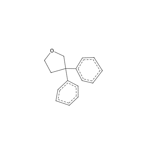 c1ccc(C2(c3ccccc3)CCOC2)cc1